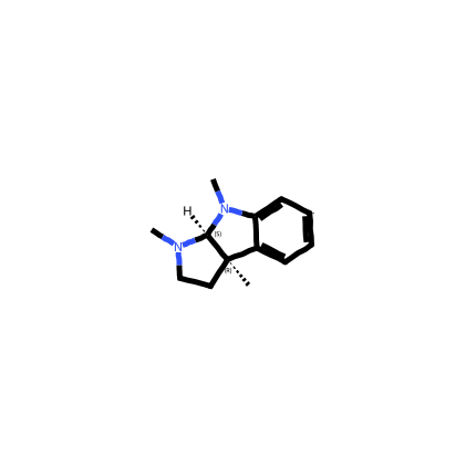 CN1CC[C@]2(C)c3cc[c]cc3N(C)[C@H]12